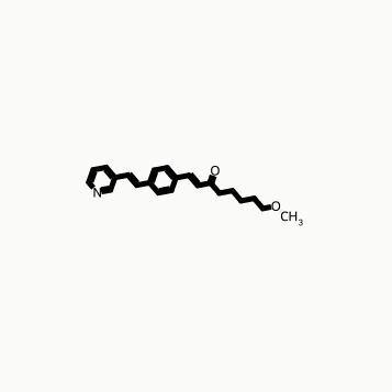 COCCCCCC(=O)C=Cc1ccc(C=Cc2cccnc2)cc1